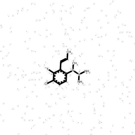 C/C=C/c1c(N(C)N(N)N)ccc(Cl)c1F